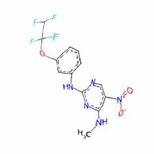 CNc1nc(Nc2cccc(OC(F)(F)C(F)F)c2)ncc1[N+](=O)[O-]